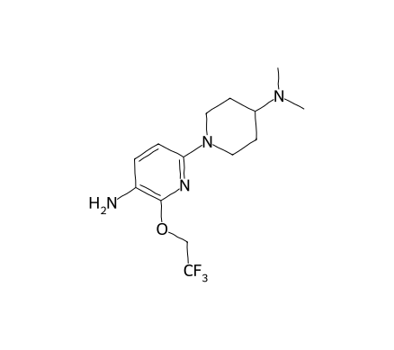 CN(C)C1CCN(c2ccc(N)c(OCC(F)(F)F)n2)CC1